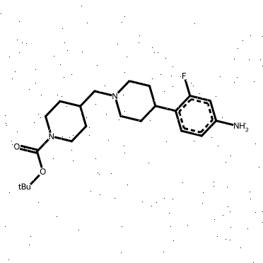 CC(C)(C)OC(=O)N1CCC(CN2CCC(c3ccc(N)cc3F)CC2)CC1